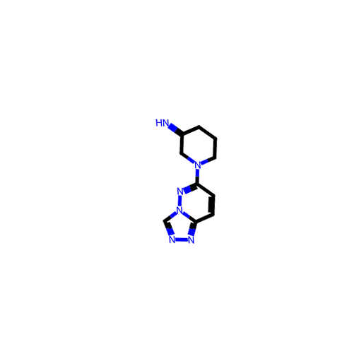 N=C1CCCN(c2ccc3nncn3n2)C1